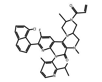 C=CC(=O)N1CC2CN(C)c3c(c4cc(F)c(-c5cccc6cccc(Cl)c56)nc4n(-c4c(C)ccnc4C(C)C)c3=O)N2CC1C